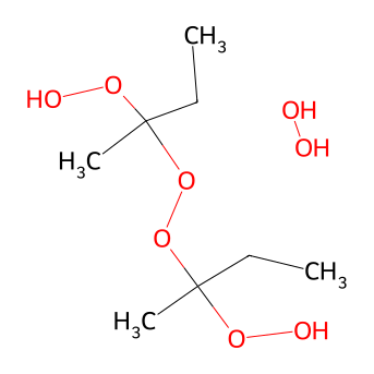 CCC(C)(OO)OOC(C)(CC)OO.OO